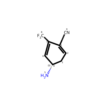 N#CC1=CC[C@H](N)C=C1C(F)(F)F